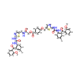 COc1ccccc1C(=O)c1cc(C)ccc1NC(=O)Nc1ncc(CNC(=O)COC(=O)c2ccc(OCc3cnc(NC(=O)Nc4ccc(C)cc4C(=O)c4ccccc4OC)s3)cc2)s1